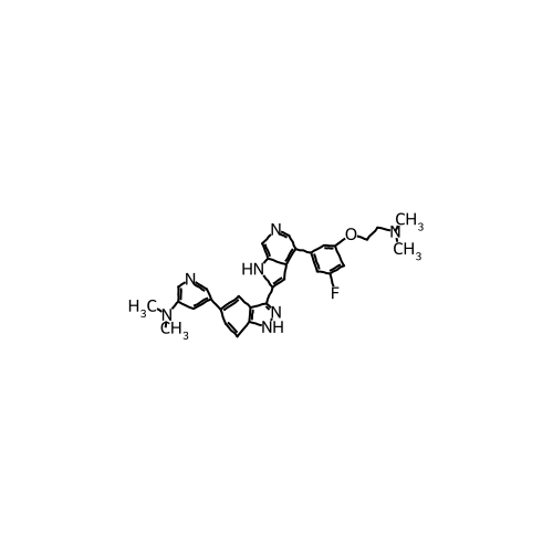 CN(C)CCOc1cc(F)cc(-c2cncc3[nH]c(-c4n[nH]c5ccc(-c6cncc(N(C)C)c6)cc45)cc23)c1